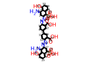 Nc1cc(/N=N/c2ccc(-c3ccc(/N=N/c4cc(S(=O)(=O)O)c5cccc(O)c5c4N)c(C(=O)O)c3)cc2C(=O)O)c(S(=O)(=O)O)c2cccc(O)c12